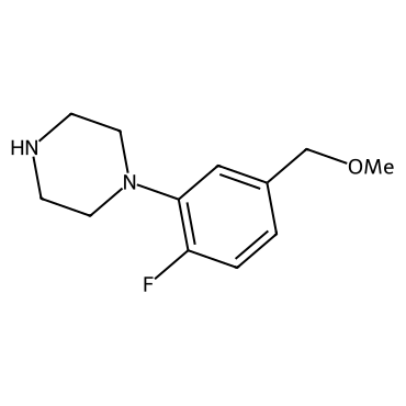 COCc1ccc(F)c(N2CCNCC2)c1